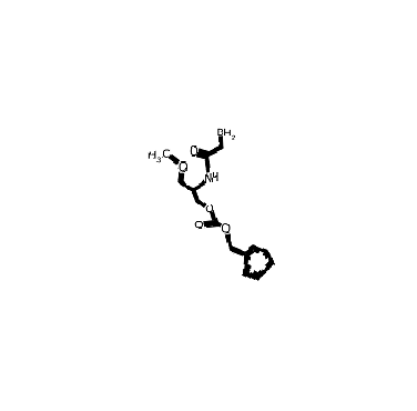 BCC(=O)NC(COC)COC(=O)OCc1ccccc1